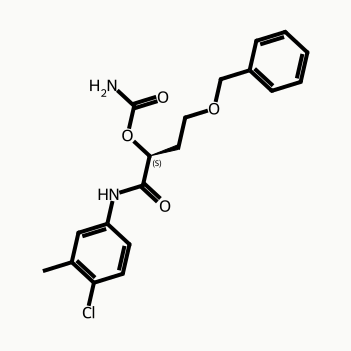 Cc1cc(NC(=O)[C@H](CCOCc2ccccc2)OC(N)=O)ccc1Cl